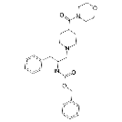 O=C(NC(Cc1ccccc1)CN1CCC(C(=O)N2CCOCC2)CC1)OCc1ccccc1